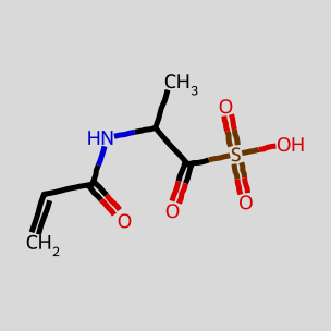 C=CC(=O)NC(C)C(=O)S(=O)(=O)O